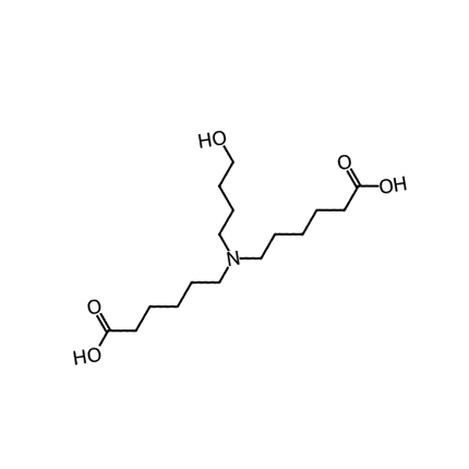 O=C(O)CCCCCN(CCCCO)CCCCCC(=O)O